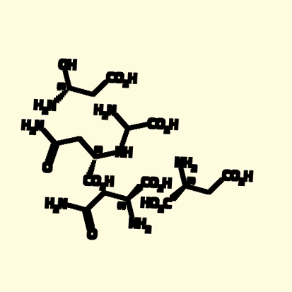 NC(=O)C[C@H](N)C(=O)O.NC(=O)C[C@H](NC(N)C(=O)O)C(=O)O.N[C@@H](CC(=O)O)C(=O)O.N[C@H](O)CC(=O)O